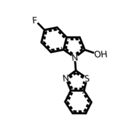 Oc1cc2cc(F)ccc2n1-c1nc2ccccc2s1